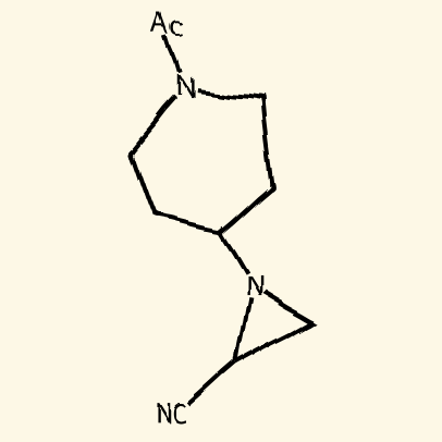 CC(=O)N1CCC(N2CC2C#N)CC1